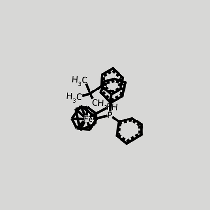 CC(C)(C)c1ccccc1P[C]12[CH]3[CH]4[CH]5[CH]1[Fe]45321678[CH]2[CH]1[CH]6[C]7(P(c1ccccc1)c1ccccc1)[CH]28